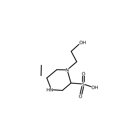 CC.O=S(=O)(O)C1CNCCN1CCO